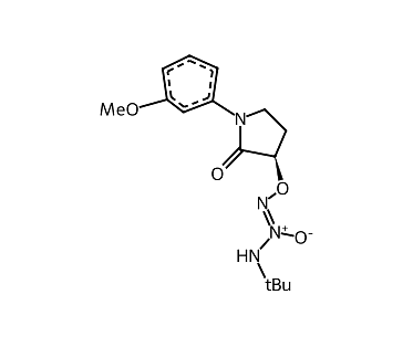 COc1cccc(N2CC[C@@H](O/N=[N+](\[O-])NC(C)(C)C)C2=O)c1